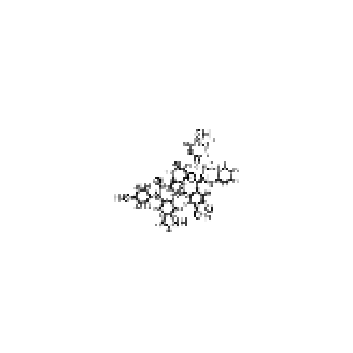 CN1CCN(C[C@@H]2Cc3ccccc3CN2C(=O)c2cc3c(cc2-n2cc(C(=O)N(c4ccc(O)cc4)c4ccc5[nH]ccc5c4)c4ccccc42)OCO3)CC1